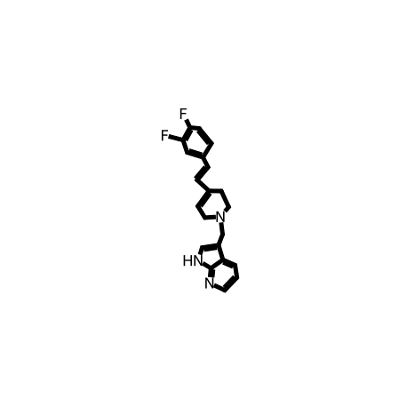 Fc1ccc(C=CC2=CCN(Cc3c[nH]c4ncccc34)CC2)cc1F